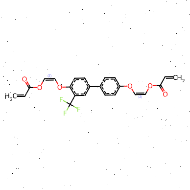 C=CC(=O)O/C=C\Oc1ccc(-c2ccc(O/C=C\OC(=O)C=C)c(C(F)(F)F)c2)cc1